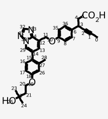 CC#CC(CC(=O)O)c1ccc(OCc2cc(-c3ccc(OCCC(C)(C)O)cc3C)cn3ncnc23)cc1